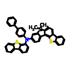 C[Si]1(C)c2cc(N(c3ccc(-c4ccccc4)cc3)c3cccc4c3sc3ccccc34)ccc2-c2c1ccc1c2sc2ccccc21